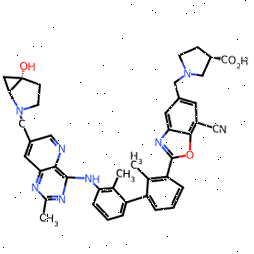 Cc1nc(Nc2cccc(-c3cccc(-c4nc5cc(CN6CC[C@@H](C(=O)O)C6)cc(C#N)c5o4)c3C)c2C)c2ncc(CN3CC[C@]4(O)CC34)cc2n1